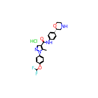 Cc1c(C(=O)Nc2ccc([C@H]3CNCCO3)cc2)cnn1-c1ccc(OC(F)F)cc1.Cl